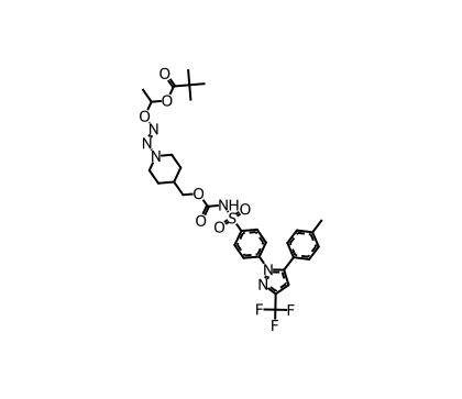 Cc1ccc(-c2cc(C(F)(F)F)nn2-c2ccc(S(=O)(=O)NC(=O)OCC3CCN(N=NOC(C)OC(=O)C(C)(C)C)CC3)cc2)cc1